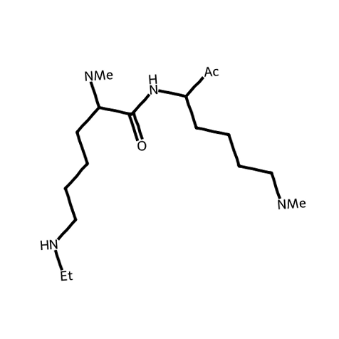 CCNCCCCC(NC)C(=O)NC(CCCCNC)C(C)=O